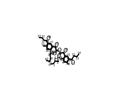 CCCCNc1cc(C)c(C(=O)CCC)cc1C(=O)C(=O)OC(=O)C(=O)c1cc(C(=O)CCC)c(C)cc1NCCCC